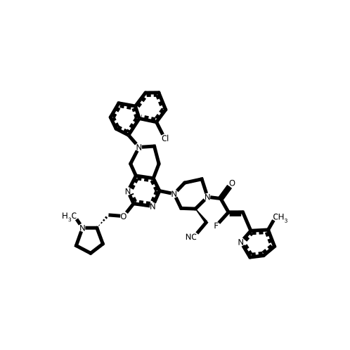 Cc1cccnc1/C=C(\F)C(=O)N1CCN(c2nc(OC[C@@H]3CCCN3C)nc3c2CCN(c2cccc4cccc(Cl)c24)C3)C[C@@H]1CC#N